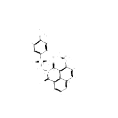 Cc1ccc(S(=O)(=O)ON2C(=O)c3cccc4ccc([N+](=O)[O-])c(c34)C2=O)cc1